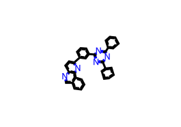 c1ccc(-c2nc(-c3ccccc3)nc(-c3cccc(-c4ccc5ncc6ccccc6c5n4)c3)n2)cc1